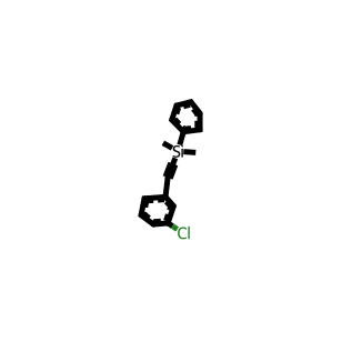 C[Si](C)(C#Cc1cccc(Cl)c1)c1ccccc1